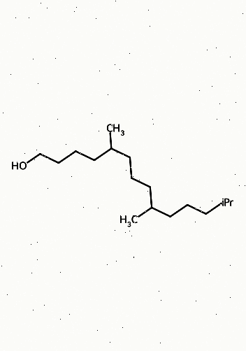 CC(C)CCCC(C)CCCC(C)CCCCO